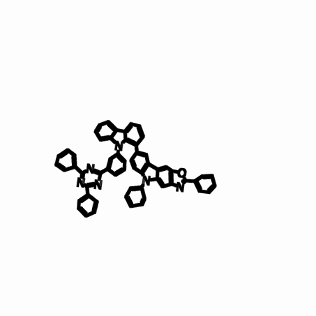 c1ccc(-c2nc(-c3ccccc3)nc(-c3cccc(-n4c5ccccc5c5cccc(-c6ccc7c(c6)c6cc8oc(-c9ccccc9)nc8cc6n7-c6ccccc6)c54)c3)n2)cc1